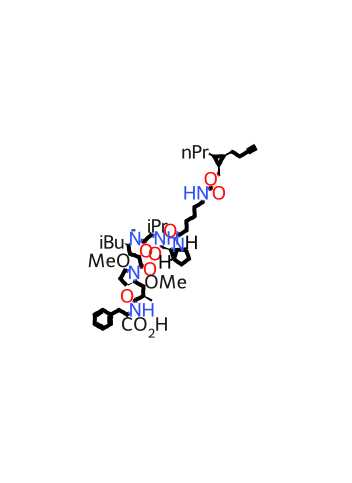 C#CCC[C@@H]1[C@H](CCC)[C@@H]1COC(=O)NCCCCCC(=O)N1[C@@H]2CC[C@@H](C2)[C@H]1C(=O)N[C@H](C(=O)N(C)[C@@H]([C@@H](C)CC)[C@@H](CC(=O)N1CCC[C@H]1[C@H](OC)[C@@H](C)C(=O)N[C@@H](Cc1ccccc1)C(=O)O)OC)C(C)C